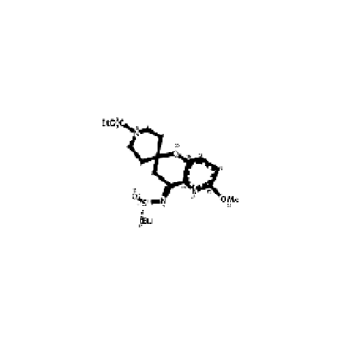 CCOC(=O)N1CCC2(CC1)C/C(=N\[S@@+]([O-])C(C)(C)C)c1nc(OC)ccc1O2